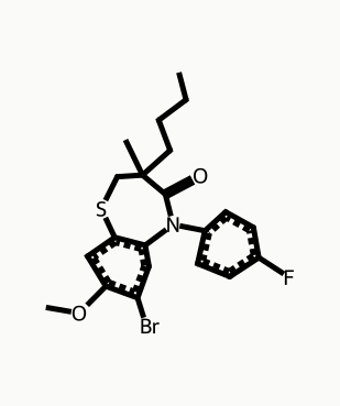 CCCCC1(C)CSc2cc(OC)c(Br)cc2N(c2ccc(F)cc2)C1=O